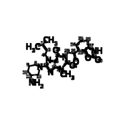 CC(C)=CCn1c(N2CCCC(N)C2)nc2c1c(=O)n(CC(=O)c1cccc3[nH]c(=O)oc13)c(=O)n2C